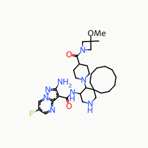 COC1(C)CN(C(=O)C2CCN(C3C(NC(=O)c4c(N)nn5cc(F)cnc45)CNCC34CCCCCCCCC4)CC2)C1